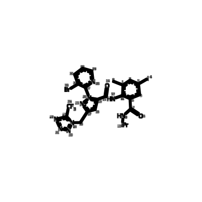 Cc1cc(I)cc(C(=O)NC(C)C)c1NC(=O)c1cc(Cn2nnnc2C(F)(F)F)nn1-c1ncccc1Br